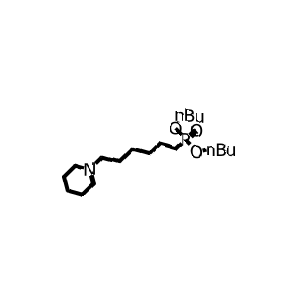 CCCCOP(=O)(CCCCCCN1CCCCC1)OCCCC